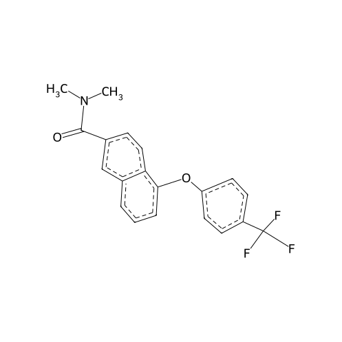 CN(C)C(=O)c1ccc2c(Oc3ccc(C(F)(F)F)cc3)cccc2c1